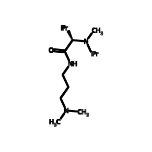 CC(C)[C@H](C(=O)NCCCN(C)C)N(C)C(C)C